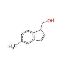 Cc1ccc2c(c1)C=CC2CO